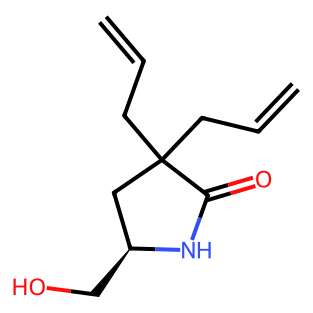 C=CCC1(CC=C)C[C@H](CO)NC1=O